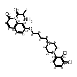 CC(N)C(=O)n1c(=O)ccc2ccc(OCCCCN3CCN(c4cccc(Cl)c4Cl)CC3)cc21